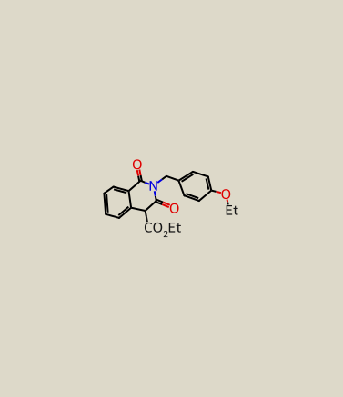 CCOC(=O)C1C(=O)N(Cc2ccc(OCC)cc2)C(=O)c2ccccc21